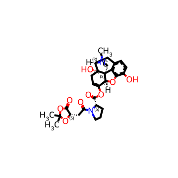 CN1CC[C@]23c4c5ccc(O)c4O[C@H]2C(OC(=O)[C@@H]2CCCN2C(=O)C[C@@H]2OC(C)(C)OC2=O)=CC[C@@]3(O)[C@H]1C5